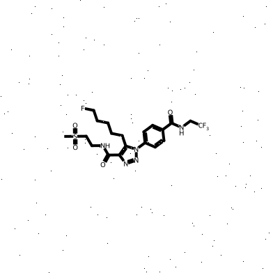 CS(=O)(=O)CCNC(=O)c1nnn(-c2ccc(C(=O)NCC(F)(F)F)cc2)c1CCCCCF